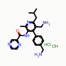 Cc1nc(CC(C)C)c(CN)c(-c2ccc(CN)cc2)c1NC(=O)c1cnccn1.Cl.Cl